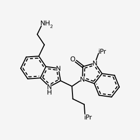 CC(C)CCC(c1nc2c(CCN)cccc2[nH]1)n1c(=O)n(C(C)C)c2ccccc21